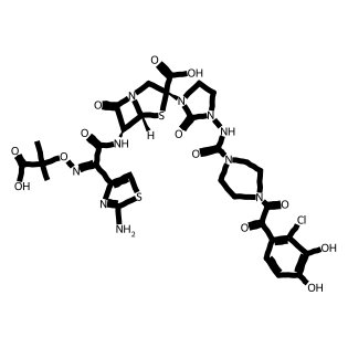 CC(C)(O/N=C(\C(=O)N[C@@H]1C(=O)N2C[C@@](C(=O)O)(N3CCN(NC(=O)N4CCN(C(=O)C(=O)c5ccc(O)c(O)c5Cl)CC4)C3=O)S[C@H]12)c1csc(N)n1)C(=O)O